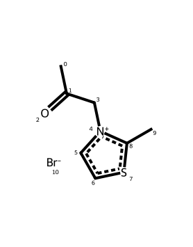 CC(=O)C[n+]1ccsc1C.[Br-]